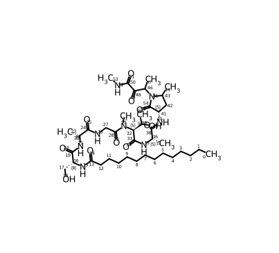 CCCCCCCCCCCCCC(=O)N[C@H](CO)C(=O)N[C@H](C)C(=O)NCC(=O)N(C)[C@H](C(=O)N[C@@H](C)C(=O)N[C@H]1CC(C)N(C(C)C(=O)C(=O)NC)C1=O)C(C)O